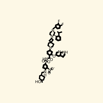 CC(C)c1ccccc1[C@@H]1CN(Cc2ccc(F)c(F)c2)CCN1C1CC2(CCN(c3ccc(C(=O)NS(=O)(=O)c4ccc(NCC5CCC(C)(O)CC5)c([N+](=O)[O-])c4)c(Oc4cnc5[nH]ccc5c4)c3)CC2)C1